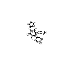 CC1=C(C(=O)O)[C@@H](c2ccc(Cl)nc2)C(C)C(=O)N1C[C@H]1CCCO1